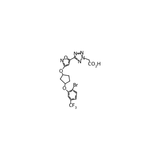 O=C(O)Cn1nnc(-c2cc(OC3CCC(Oc4cc(C(F)(F)F)ccc4Br)C3)no2)n1